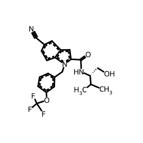 CC(C)[C@@H](CO)NC(=O)c1cc2cc(C#N)ccc2n1Cc1cccc(OC(F)(F)F)c1